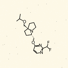 CC(C)OC[C@@]12CCCN1[C@H](COc1ccnc(C(F)F)n1)CC2